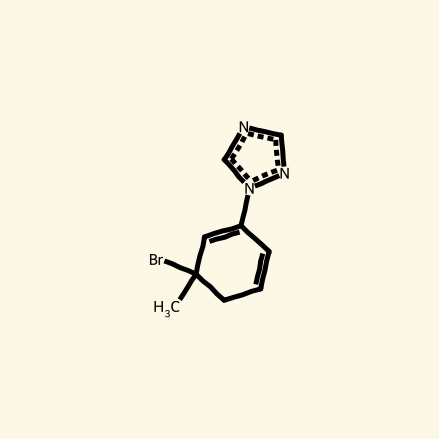 CC1(Br)C=C(n2cncn2)C=CC1